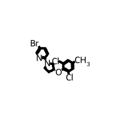 Cc1cc(Cl)c(O[C@@H]2CCN(c3ccc(Br)cn3)C2)c(Cl)c1